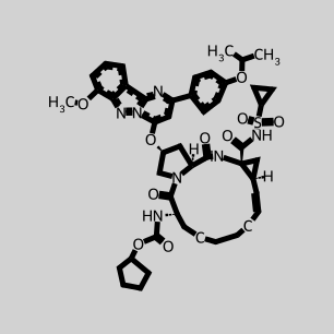 COc1cccc2c1nn1c(O[C@@H]3C[C@H]4C(=O)N[C@]5(C(=O)NS(=O)(=O)C6CC6)C[C@H]5/C=C\CCCCC[C@H](NC(=O)OC5CCCC5)C(=O)N4C3)cc(-c3ccc(OC(C)C)cc3)nc21